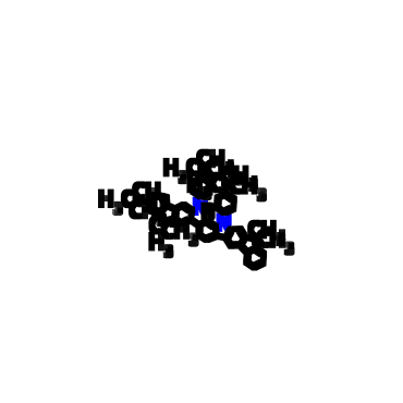 CC(C)(C)c1ccc(N2B3c4cc(C(C)(C)C)ccc4-n4c5cc6c(cc5c5ccc(c3c54)-c3cc4c(cc32)-c2ccc(C(C)(C)C)cc2C4(C)C)-c2ccccc2C6(C)C)cc1